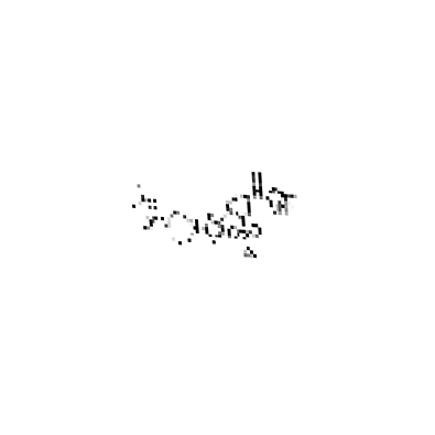 Cc1cc(Nc2ccc(-c3cnc(N4CCCN(C(=O)OC(C)C)CC4)s3)c(S(=O)(=O)C3CC3)c2)n[nH]1